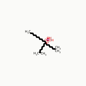 CCCCCCCCCCCC(CCCCCC(C)C)(CCCCCC(C)C)OP(=O)(O)O